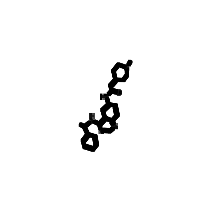 CC(Nc1ncnc2ccc(NC(=O)C=C3CCN(C)CC3)cc12)c1ccccc1